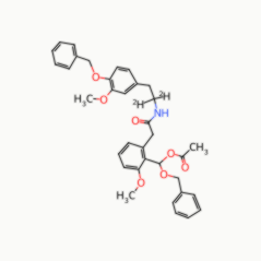 [2H]C([2H])(Cc1ccc(OCc2ccccc2)c(OC)c1)NC(=O)Cc1cccc(OC)c1C(OCc1ccccc1)OC(C)=O